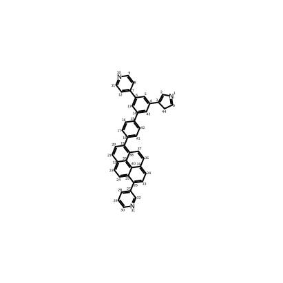 C1=NC=C(c2cc(-c3ccncc3)cc(-c3ccc(-c4ccc5ccc6c(-c7cccnc7)ccc7ccc4c5c76)cc3)c2)C1